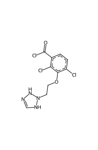 O=C(Cl)c1ccc(Cl)c(OCCN2NC=NN2)c1Cl